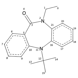 CCN1C(=O)c2ccccc2N(C(C)(C)C)c2ccccc21